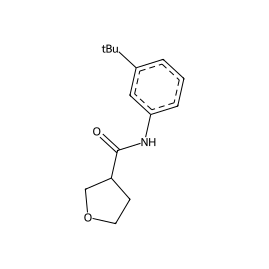 CC(C)(C)c1cccc(NC(=O)C2CCOC2)c1